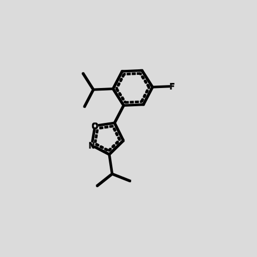 CC(C)c1cc(-c2cc(F)ccc2C(C)C)on1